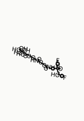 O=C(COCCOCCNC(=O)COCCOCC(=O)NCc1ccc(C2C(CCC(O)c3ccc(F)cc3)C(=O)N2c2ccc(F)cc2)cc1)CC(O)C(O)C(O)C(O)O